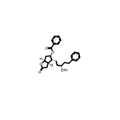 CC(=O)O[C@@H](CCc1ccccc1)CC[C@@H]1[C@H]2CC(=O)O[C@H]2C[C@H]1OC(=O)c1ccccc1